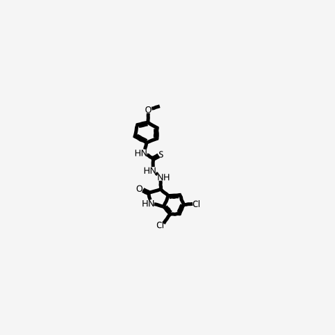 COc1ccc(NC(=S)NNC2C(=O)Nc3c(Cl)cc(Cl)cc32)cc1